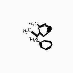 C=C(Nc1ccccc1)c1ccccc1C